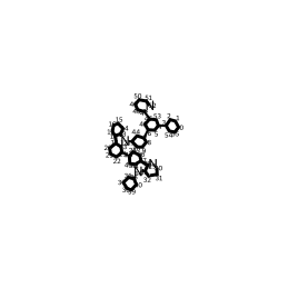 c1ccc(-c2cc(-c3cccc(-n4c5ccccc5c5cccc(-c6ccc7c8ncccc8n(-c8ccccc8)c7c6)c54)c3)cc(-c3ccccn3)c2)cc1